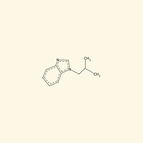 C[C](C)Cn1cnc2ccccc21